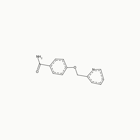 NC(=O)c1ccc(OCc2ccccn2)cc1